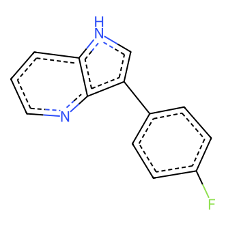 Fc1ccc(-c2c[nH]c3cccnc23)cc1